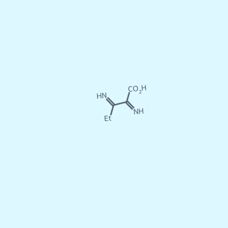 CCC(=N)C(=N)C(=O)O